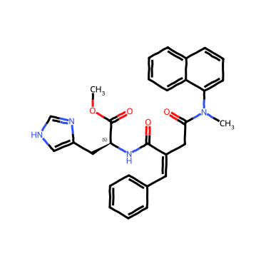 COC(=O)[C@H](Cc1c[nH]cn1)NC(=O)C(=Cc1ccccc1)CC(=O)N(C)c1cccc2ccccc12